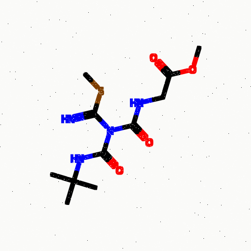 COC(=O)CNC(=O)N(C(=N)SC)C(=O)NC(C)(C)C